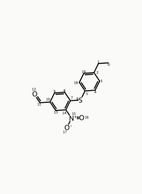 CCc1ccc(Sc2ccc(C=O)cc2[N+](=O)[O-])cc1